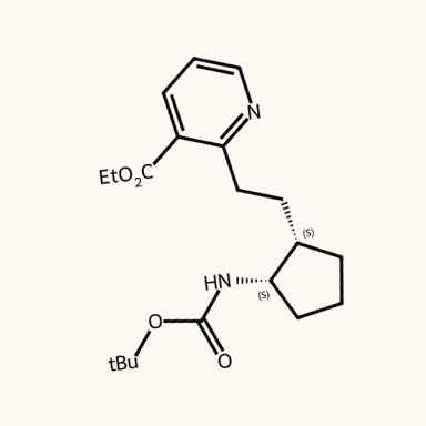 CCOC(=O)c1cccnc1CC[C@@H]1CCC[C@@H]1NC(=O)OC(C)(C)C